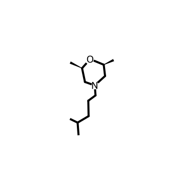 CC(C)CCCN1C[C@@H](C)O[C@@H](C)C1